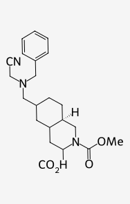 COC(=O)N1C[C@@H]2CCC(CN(CC#N)Cc3ccccc3)CC2CC1C(=O)O